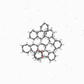 c1ccc2c(c1)cc(C(c1cc3ccccc3c3ccccc13)=c1n3c4nccnc4c4cccc(c5cccc6c7nccnc7n1c56)c43)c1ccccc12